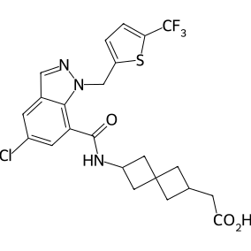 O=C(O)CC1CC2(C1)CC(NC(=O)c1cc(Cl)cc3cnn(Cc4ccc(C(F)(F)F)s4)c13)C2